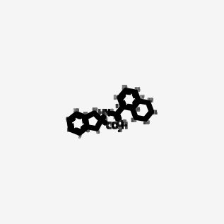 O=C(NC1(C(=O)O)Cc2ccccc2C1)c1cccc2c1CCCC2